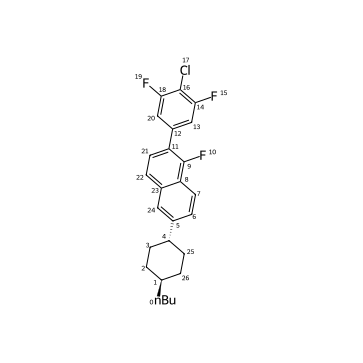 CCCC[C@H]1CC[C@H](c2ccc3c(F)c(-c4cc(F)c(Cl)c(F)c4)ccc3c2)CC1